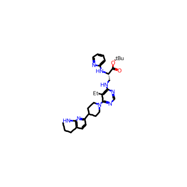 CCc1c(NC[C@H](Nc2ccccn2)C(=O)OC(C)(C)C)ncnc1N1CCC(c2ccc3c(n2)NCCC3)CC1